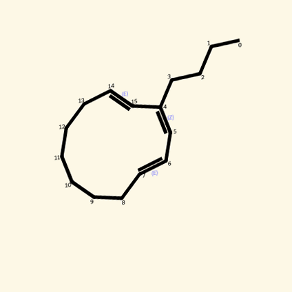 CCCCC1=C/C=C/CCCCCC\C=C\1